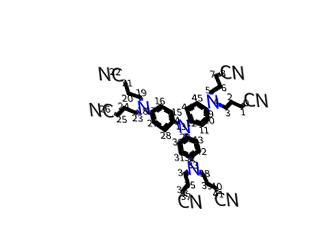 N#CCCCN(CCCC#N)c1ccc(N(c2ccc(N(CCCC#N)CCCC#N)cc2)c2ccc(N(CCCC#N)CCCC#N)cc2)cc1